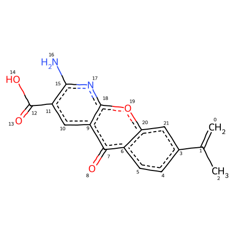 C=C(C)c1ccc2c(=O)c3cc(C(=O)O)c(N)nc3oc2c1